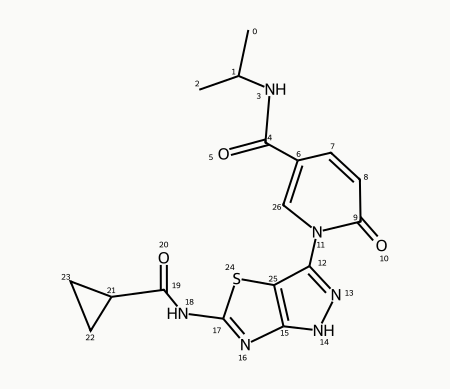 CC(C)NC(=O)c1ccc(=O)n(-c2n[nH]c3nc(NC(=O)C4CC4)sc23)c1